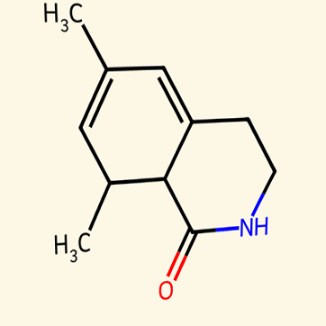 CC1=CC(C)C2C(=O)NCCC2=C1